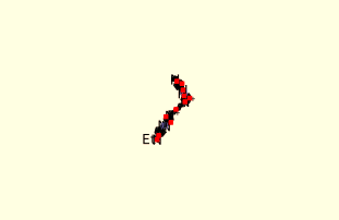 CCN(C)c1ccc(/N=N/c2cc[n+](CCCCCC[n+]3cccc(/N=N/c4ccc(N(C)C)cc4)c3)cc2)cc1